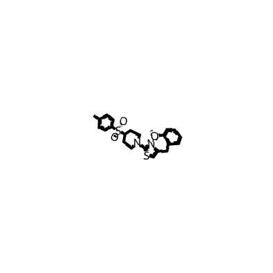 COc1ccccc1Cc1csc(N2CCC(S(=O)(=O)c3ccc(C)cc3)CC2)n1